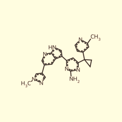 Cc1cc(C2(c3cc(-c4c[nH]c5ncc(-c6cnn(C)c6)cc45)nc(N)n3)CC2)ccn1